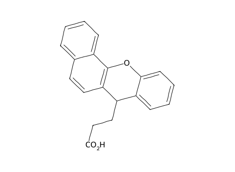 O=C(O)CCC1c2ccccc2Oc2c1ccc1ccccc21